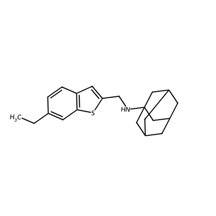 CCc1ccc2cc(CNC34CC5CC(CC(C5)C3)C4)sc2c1